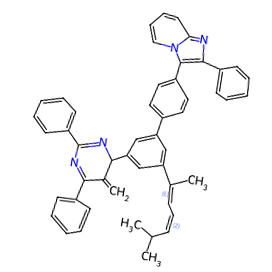 C=C1C(c2ccccc2)=NC(c2ccccc2)=NC1c1cc(/C(C)=C/C=C\C(C)C)cc(-c2ccc(-c3c(-c4ccccc4)nc4ccccn34)cc2)c1